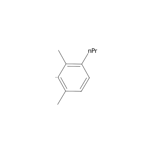 CCCc1ccc(C)[c]c1C